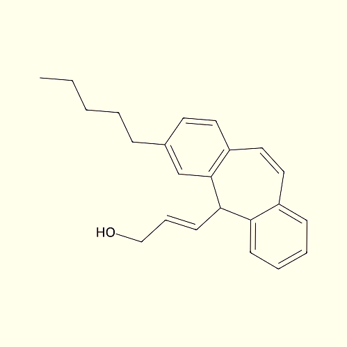 CCCCCc1ccc2c(c1)C(C=CCO)c1ccccc1C=C2